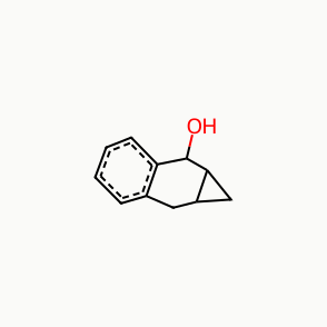 OC1c2ccccc2CC2CC21